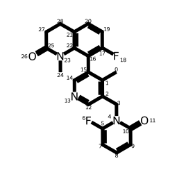 Cc1c(Cn2c(F)cccc2=O)cncc1-c1c(F)ccc2c1N(C)C(=O)CC2